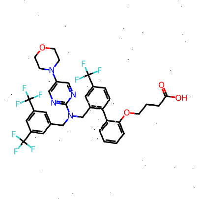 O=C(O)CCCOc1ccccc1-c1ccc(C(F)(F)F)cc1CN(Cc1cc(C(F)(F)F)cc(C(F)(F)F)c1)c1ncc(N2CCOCC2)cn1